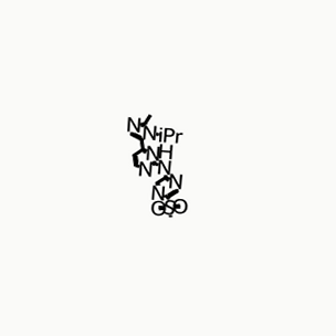 Cc1ncc(-c2ccnc(Nc3cnc(S(C)(=O)=O)cn3)n2)n1C(C)C